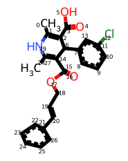 CC1=C(C(=O)O)C(c2cccc(Cl)c2)C(C(=O)OC/C=C/c2ccccc2)=C(C)N1